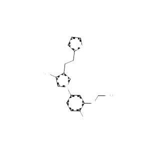 CCOC(=O)c1ccc(-n2cc(C#N)c(CCc3ccco3)c2)cc1OCOC